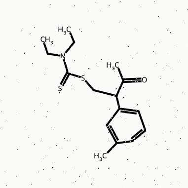 CCN(CC)C(=S)SCC(C(C)=O)c1cccc(C)c1